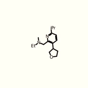 CCN(C)Cc1nc(C(C)C)ccc1C1CCOC1